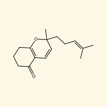 CC(C)=CCCC1(C)C=CC2=C(CCCC2=O)O1